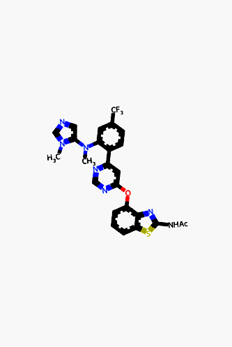 CC(=O)Nc1nc2c(Oc3cc(-c4ccc(C(F)(F)F)cc4N(C)c4cncn4C)ncn3)cccc2s1